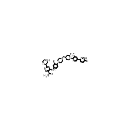 NC(=O)c1nnc(C2CNCCO2)nc1Nc1ccc(N2CCN(CC3CCN(c4ncc(-c5ccc(=O)[nH]n5)cc4C(F)(F)F)CC3)CC2)c(F)c1